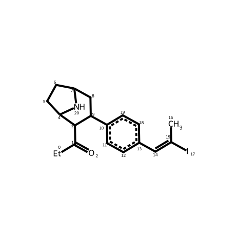 CCC(=O)C1C2CCC(CC1c1ccc(/C=C(\C)I)cc1)N2